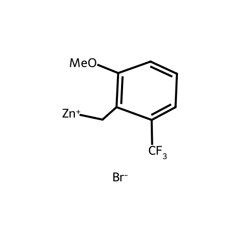 COc1cccc(C(F)(F)F)c1[CH2][Zn+].[Br-]